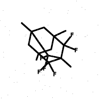 CC12CC3(C)CC(C)(C1)C(F)(F)C(C)(C2(F)F)C3(F)F